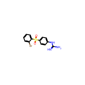 N=C(N)Nc1ccc(S(=O)(=O)c2ccccc2Br)cc1